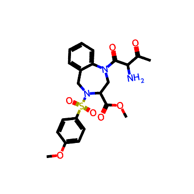 COC(=O)C1CN(C(=O)C(N)C(C)=O)c2ccccc2CN1S(=O)(=O)c1ccc(OC)cc1